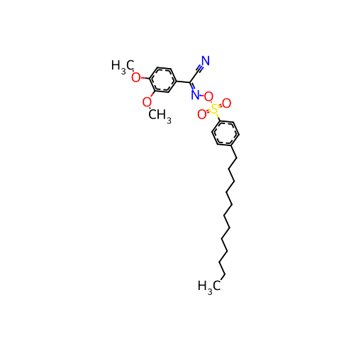 CCCCCCCCCCCCc1ccc(S(=O)(=O)O/N=C(\C#N)c2ccc(OC)c(OC)c2)cc1